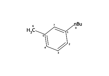 CCCCc1cccc(C)c1